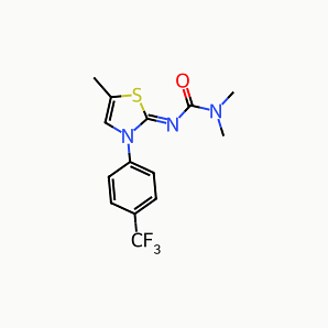 Cc1cn(-c2ccc(C(F)(F)F)cc2)c(=NC(=O)N(C)C)s1